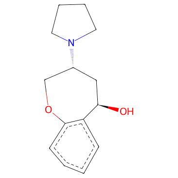 O[C@@H]1C[C@@H](N2CCCC2)COc2ccccc21